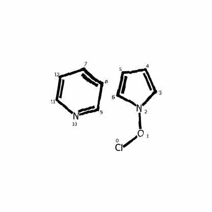 ClOn1cccc1.c1ccncc1